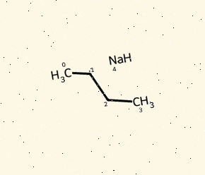 C[CH]CC.[NaH]